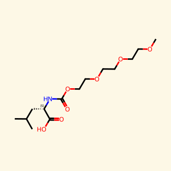 COCCOCCOCCOC(=O)N[C@@H](CC(C)C)C(=O)O